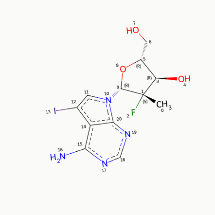 C[C@]1(F)[C@H](O)[C@@H](CO)O[C@H]1n1cc(I)c2c(N)ncnc21